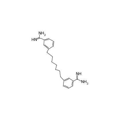 N=C(N)c1cccc(CCCCCCCc2cccc(C(=N)N)c2)c1